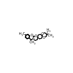 Cc1ccc([C@H](C)N2CCC3(CCC4(CC3)OCC(C)(C)CO4)OC2=O)cc1